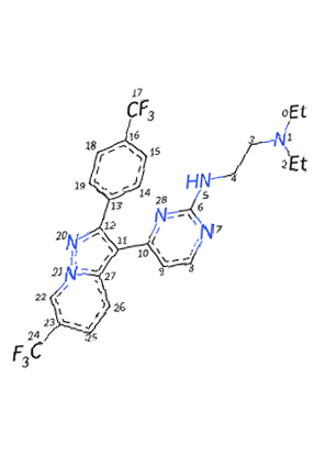 CCN(CC)CCNc1nccc(-c2c(-c3ccc(C(F)(F)F)cc3)nn3cc(C(F)(F)F)ccc23)n1